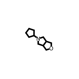 C1CCC(N2CC3COCC3C2)C1